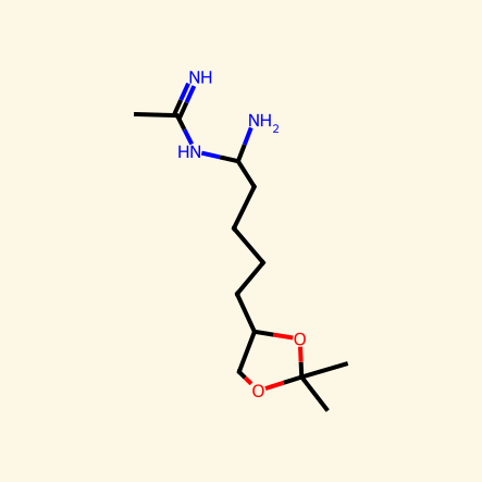 CC(=N)NC(N)CCCCC1COC(C)(C)O1